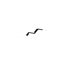 C=CC=CO